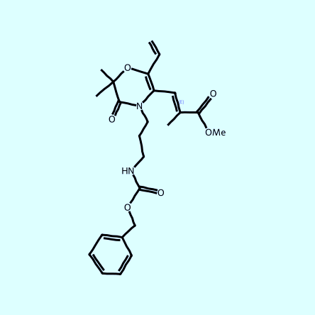 C=CC1=C(/C=C(\C)C(=O)OC)N(CCCNC(=O)OCc2ccccc2)C(=O)C(C)(C)O1